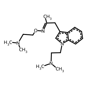 CC(Cc1cn(CCN(C)C)c2ccccc12)=NOCCN(C)C